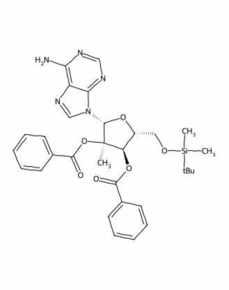 CC(C)(C)[Si](C)(C)OC[C@H]1O[C@@H](n2cnc3c(N)ncnc32)[C@](C)(OC(=O)c2ccccc2)[C@@H]1OC(=O)c1ccccc1